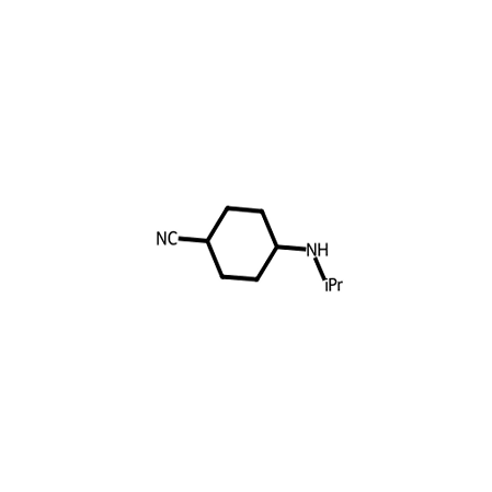 CC(C)NC1CCC(C#N)CC1